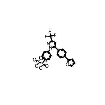 CS(=O)(=O)S(=O)(=O)c1ccc(-n2nc(C(F)(F)F)cc2-c2ccc(-c3ccco3)cc2)cc1